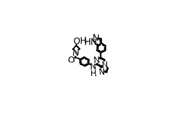 O=C(c1ccc(Nc2nc(-c3ccc4cn[nH]c4c3)cn3ccnc23)cc1)N1CC(O)C1